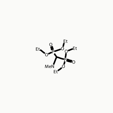 CCOP(=O)(OCC)C(NC)P(=O)(OCC)OCC